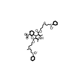 CC1=C(C(=O)OCCCN(C)CC[S+]([O-])c2ccccc2)C(c2cccc([N+](=O)[O-])c2)C(C(=O)OCCCN(C)CC[S+]([O-])c2ccccc2)=C(C)N1